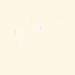 Cc1ccccc1C(CC(=NO)c1ccnc(Cl)c1)c1ccc(Br)cc1